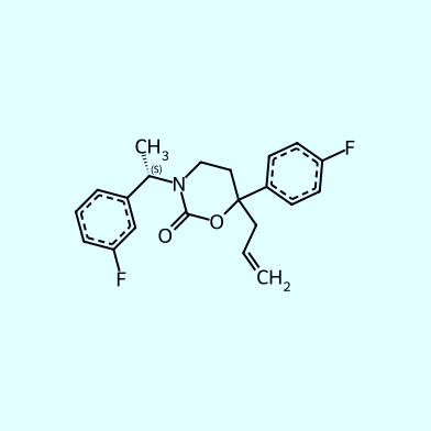 C=CCC1(c2ccc(F)cc2)CCN([C@@H](C)c2cccc(F)c2)C(=O)O1